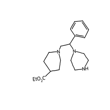 CCOC(=O)C1CCN(CC(c2ccccc2)N2CCNCC2)CC1